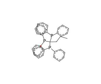 CCCC(P(c1ccccc1)c1ccccc1)(P(c1ccccc1)c1ccccc1)P(c1ccccc1)c1ccccc1